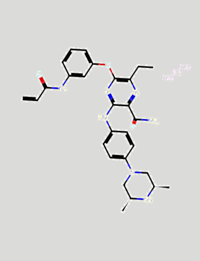 C=CC(=O)Nc1cccc(Oc2nc(Nc3ccc(N4C[C@@H](C)N[C@@H](C)C4)cc3)c(C(N)=O)nc2CC)c1.Cl.Cl.Cl